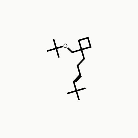 CC(C)(C)/C=C/CCC1(COC(C)(C)C)CCC1